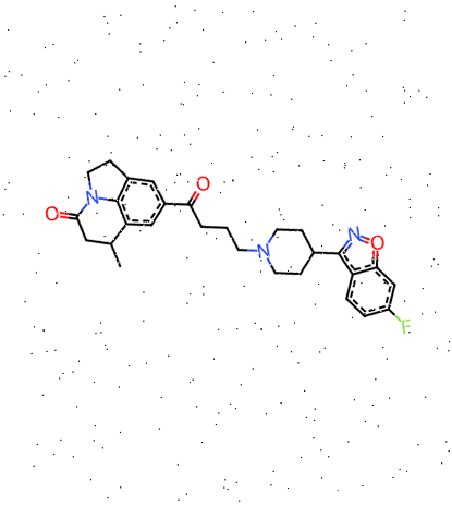 CC1CC(=O)N2CCc3cc(C(=O)CCCN4CCC(c5noc6cc(F)ccc56)CC4)cc1c32